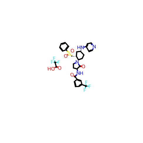 O=C(NC1CCN([C@H]2CC[C@@H](Nc3ccncc3)C[C@H]2CS(=O)(=O)c2ccccc2)C1=O)c1cccc(C(F)(F)F)c1.O=C(O)C(F)(F)F